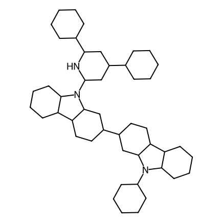 C1CCC(C2CC(C3CCCCC3)NC(N3C4CCCCC4C4CCC(C5CCC6C7CCCCC7N(C7CCCCC7)C6C5)CC43)C2)CC1